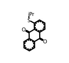 CC(C)Sc1cccc2c1C(=O)c1ccccc1C2=O